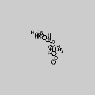 Cc1cc(Oc2ccccc2)cc(F)c1-n1ncc(C(=O)c2cc3cc(NS(C)(=O)=O)c(Cl)cc3[nH]2)c1N